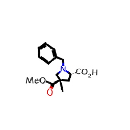 COC(=O)C1(C)C[C@@H](C(=O)O)N(Cc2ccccc2)C1